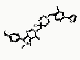 Cc1cc(-c2ccco2)ccc1CN1CCC(O)(Cn2cnc3c(-c4ccc(CN)cc4)n(C)nc3c2=O)CC1